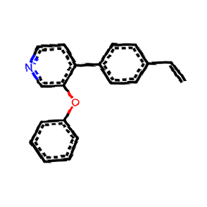 C=Cc1ccc(-c2ccncc2Oc2ccccc2)cc1